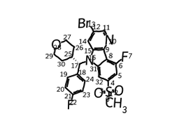 CS(=O)(=O)c1cc(F)c2c3ncc(Br)cc3n([C@H](c3ccc(F)cc3)C3CCOCC3)c2c1